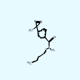 CN(/N=C/CCC(=O)O)C(=O)c1ccc(C2(C)N=N2)cc1